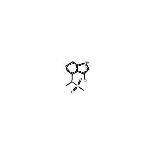 CN(c1cccc2[nH]cc(Cl)c12)S(C)(=O)=O